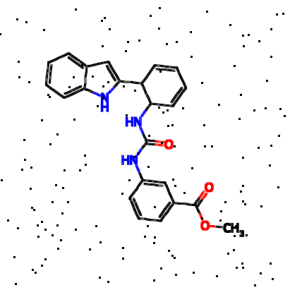 COC(=O)c1cccc(NC(=O)NC2C=CC=CC2c2cc3ccccc3[nH]2)c1